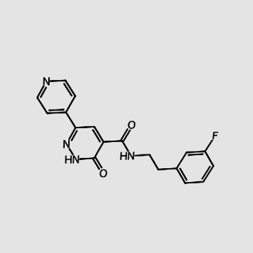 O=C(NCCc1cccc(F)c1)c1cc(-c2ccncc2)n[nH]c1=O